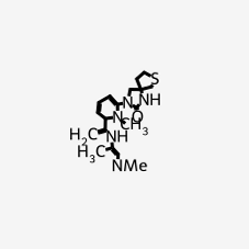 C=C(N/C(C)=C/NC)C1C=CC=C(N2CC3(CCSC3)NC2=O)N1C